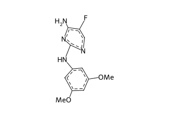 COc1cc(Nc2ncc(F)c(N)n2)cc(OC)c1